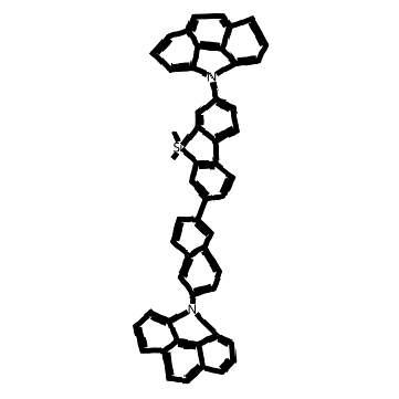 C[Si]1(C)c2cc(-c3ccc4cc(-n5c6cccc7ccc8cccc5c8c76)ccc4c3)ccc2-c2ccc(-n3c4cccc5ccc6cccc3c6c54)cc21